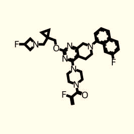 C=C(F)C(=O)N1CCN(c2nc(OCC3(CN4CC(F)C4)CC3)nc3c2CCN(c2cccc4ccc(F)cc24)C3)CC1